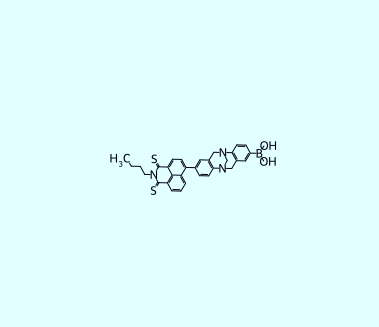 CCCCN1C(=S)c2cccc3c(-c4ccc5c(c4)CN4CN5Cc5cc(B(O)O)ccc54)ccc(c23)C1=S